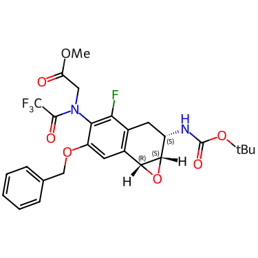 COC(=O)CN(C(=O)C(F)(F)F)c1c(OCc2ccccc2)cc2c(c1F)C[C@H](NC(=O)OC(C)(C)C)[C@@H]1O[C@H]21